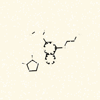 CCCSc1nc(NCCSC)c2nnn([C@@H]3CC[C@@H](O)[C@H]3O)c2n1.NC(=O)O